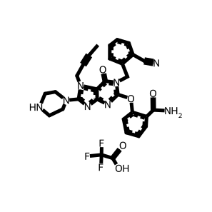 CC#CCn1c(N2CCNCC2)nc2nc(Oc3ccccc3C(N)=O)n(Cc3ccccc3C#N)c(=O)c21.O=C(O)C(F)(F)F